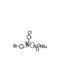 CC(C)(C)OC(=O)N1CCc2c(-c3ccc(Cl)cc3)nn(Cc3ccc(Br)cc3)c2CC1